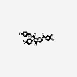 COc1ccc(-n2c(C(=O)NCc3ccc(F)cc3)c3n(c2=O)CCN(C(=O)c2ccc(Br)c(Cl)c2)C3)cc1